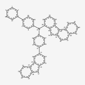 c1ccc(-c2ccc(N(c3ccc(-c4ccc5sc6ccccc6c5c4)cc3)c3cccc4c3sc3ccc5ccccc5c34)cc2)cc1